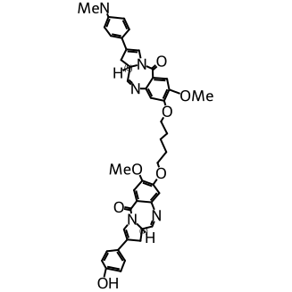 CNc1ccc(C2=CN3C(=O)c4cc(OC)c(OCCCCCOc5cc6c(cc5OC)C(=O)N5C=C(c7ccc(O)cc7)C[C@H]5C=N6)cc4N=C[C@@H]3C2)cc1